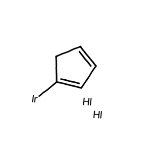 I.I.[Ir][C]1=CC=CC1